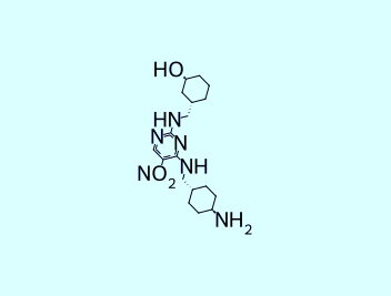 N[C@H]1CC[C@H](CNc2nc(NC[C@H]3CCC[C@H](O)C3)ncc2[N+](=O)[O-])CC1